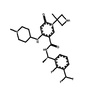 C[C@@H](NC(=O)c1cn(C2(C)CNC2)c(=O)cc1NC1CCN(C)CC1)c1cccc(C(F)F)c1F